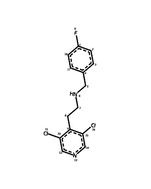 Fc1ccc(CNCCc2c(Cl)cncc2Cl)cc1